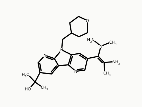 C/C(N)=C(\c1cnc2c3cc(C(C)(C)O)cnc3n(CC3CCOCC3)c2c1)N(C)N